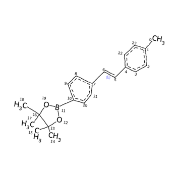 Cc1ccc(/C=C/c2ccc(B3OC(C)(C)C(C)(C)O3)cc2)cc1